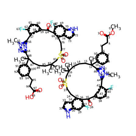 COC(=O)CCc1cccc(C2(C)CCCC(C)(C)CS(=O)(=O)CCc3c(c(F)cc4[nH]ccc34)C(=O)c3ccc(F)c(c3)-c3nc2nn3C)c1.Cn1nc2nc1-c1cc(ccc1F)C(=O)c1c(F)cc3[nH]ccc3c1CCS(=O)(=O)CC(C)(C)CCCC2(C)c1cccc(CCC(=O)O)c1